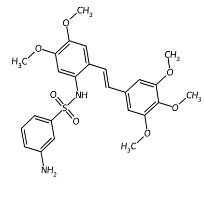 COc1cc(C=Cc2cc(OC)c(OC)c(OC)c2)c(NS(=O)(=O)c2cccc(N)c2)cc1OC